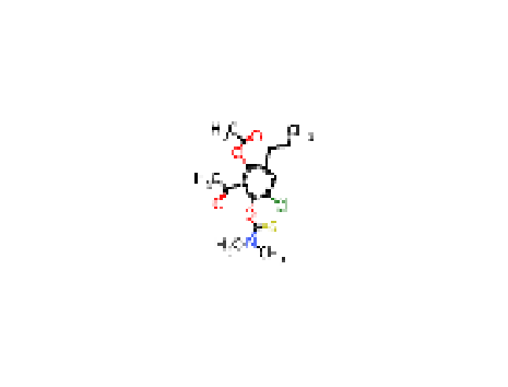 CCCc1cc(Cl)c(OC(=S)N(C)C)c(C(C)=O)c1OC(C)=O